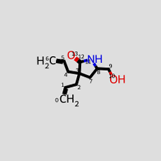 C=CCC1(CC=C)CC(CO)NC1=O